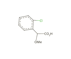 COC(C(=O)O)c1ccccc1Cl